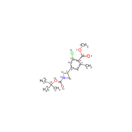 COC(=O)c1c(C)cc(C2CN(C(=O)OC(C)(C)C)C2)cc1Cl